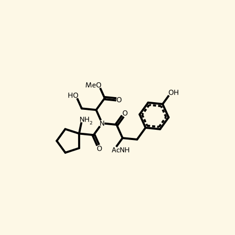 COC(=O)C(CO)N(C(=O)C(Cc1ccc(O)cc1)NC(C)=O)C(=O)C1(N)CCCC1